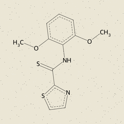 COc1cccc(OC)c1NC(=S)c1nccs1